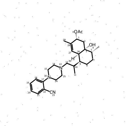 CC(=O)O[C@@H]1[CH][C@@]2(O)[C@H](C)CC[C@@H](C(C)CN3CCN(c4ccccc4C#N)CC3)[C@H]2C=C1C